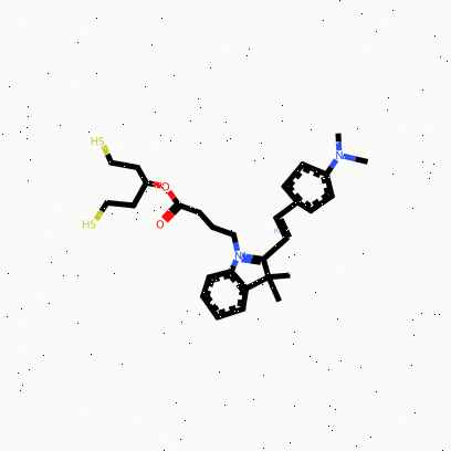 CN(C)c1ccc(/C=C/C2=[N+](CCCC(=O)OC(CCS)CCS)c3ccccc3C2(C)C)cc1